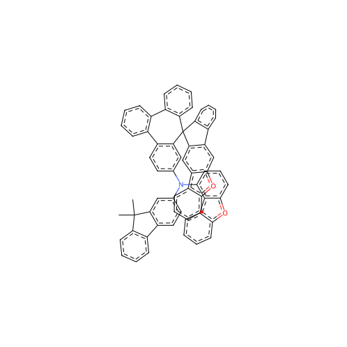 CC1(C)c2ccccc2-c2ccc(N(c3ccc4c(c3)C3(c5ccccc5-c5ccccc5-4)c4ccccc4-c4cc5oc6ccccc6c5cc43)c3cccc4oc5ccccc5c34)cc21